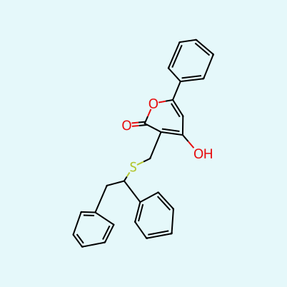 O=c1oc(-c2ccccc2)cc(O)c1CSC(Cc1ccccc1)c1ccccc1